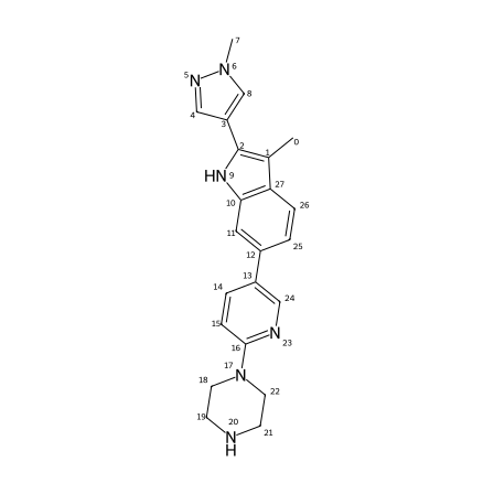 Cc1c(-c2cnn(C)c2)[nH]c2cc(-c3ccc(N4CCNCC4)nc3)ccc12